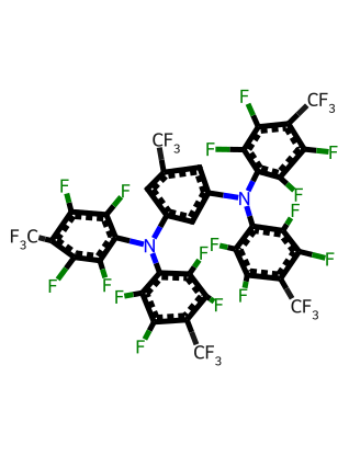 Fc1c(F)c(C(F)(F)F)c(F)c(F)c1N(c1cc(N(c2c(F)c(F)c(C(F)(F)F)c(F)c2F)c2c(F)c(F)c(C(F)(F)F)c(F)c2F)cc(C(F)(F)F)c1)c1c(F)c(F)c(C(F)(F)F)c(F)c1F